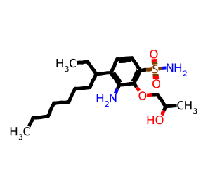 CCCCCCCC(CC)c1ccc(S(N)(=O)=O)c(OCC(C)O)c1N